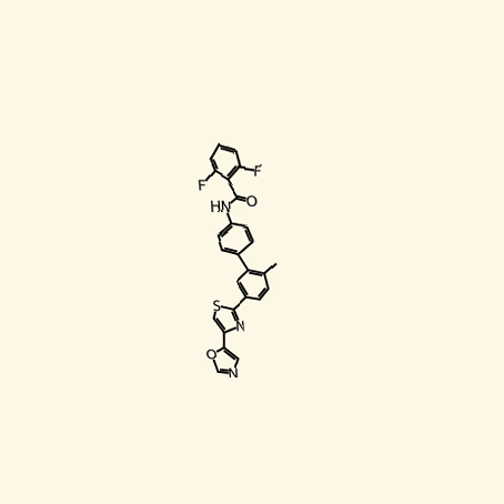 Cc1ccc(-c2nc(-c3cnco3)cs2)cc1-c1ccc(NC(=O)c2c(F)cccc2F)cc1